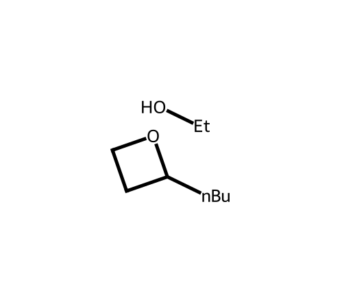 CCCCC1CCO1.CCO